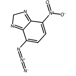 [N-]=[N+]=Nc1ccc([N+](=O)[O-])c2c1=NCN=2